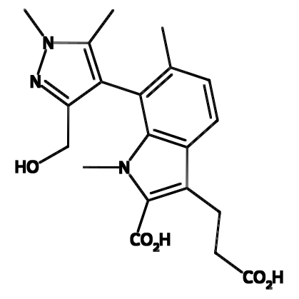 Cc1ccc2c(CCC(=O)O)c(C(=O)O)n(C)c2c1-c1c(CO)nn(C)c1C